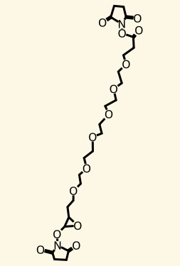 O=C(CCOCCOCCOCCOCCOCCOCCC1OC1ON1C(=O)CCC1=O)ON1C(=O)CCC1=O